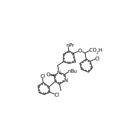 CCCCc1nc(C)c(-c2c(Cl)cccc2Cl)c(=O)n1Cc1ccc(OC(C(=O)O)c2ccccc2Cl)c(CCC)c1